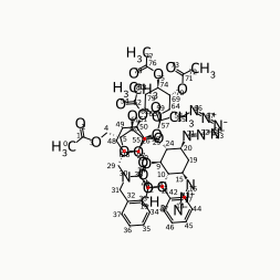 CC(=O)OC[C@H]1O[C@@H](O[C@@H]2[C@@H](OC(C)=O)[C@H](N=[N+]=[N-])C[C@H](N=[N+]=[N-])[C@H]2O[C@H]2O[C@H](CN(Cc3ccccc3)C(=O)OCc3ccccc3)CC[C@H]2OC(C)=O)[C@H](OC(C)=O)[C@@H]1O[C@H]1O[C@@H](CN=[N+]=[N-])[C@@H](OC(C)=O)[C@H](OC(C)=O)[C@H]1C